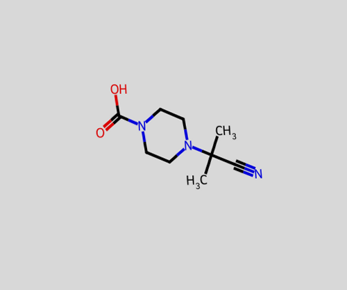 CC(C)(C#N)N1CCN(C(=O)O)CC1